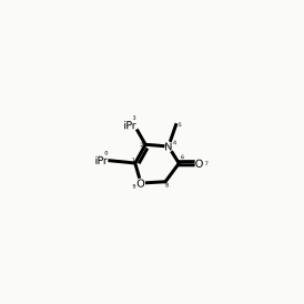 CC(C)C1=C(C(C)C)N(C)C(=O)CO1